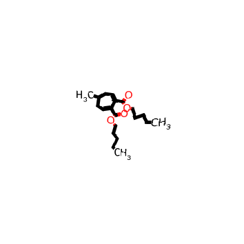 CCCCCOC(=O)C1=CCC(C)CC=C1C(=O)OCCCCC